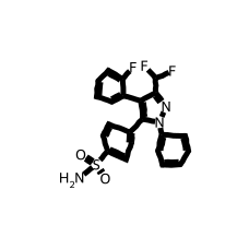 NS(=O)(=O)c1ccc(-c2c(-c3ccccc3F)c(C(F)F)nn2-c2ccccc2)cc1